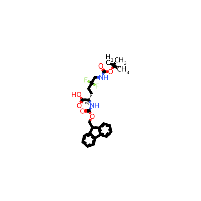 CC(C)(C)OC(=O)NCC(F)(F)CC[C@H](NC(=O)OCC1c2ccccc2-c2ccccc21)C(=O)O